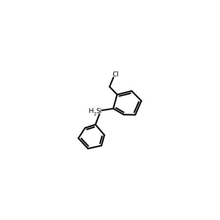 ClCc1ccccc1[SiH2]c1ccccc1